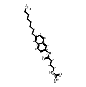 CCCCCCCCc1ccc2cc(NC(=O)CCCNC(=O)O)ccc2c1